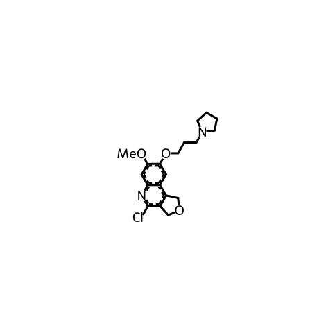 COc1cc2nc(Cl)c3c(c2cc1OCCCN1CCCC1)COC3